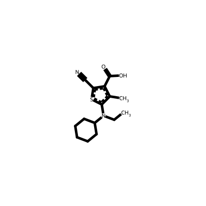 CCN(c1sc(C#N)c(C(=O)O)c1C)C1CCCCC1